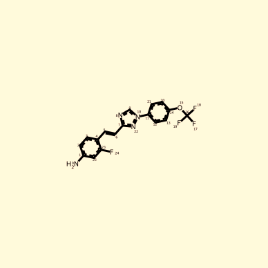 Nc1ccc(C=Cc2ncn(-c3ccc(OC(F)(F)F)cc3)n2)c(F)c1